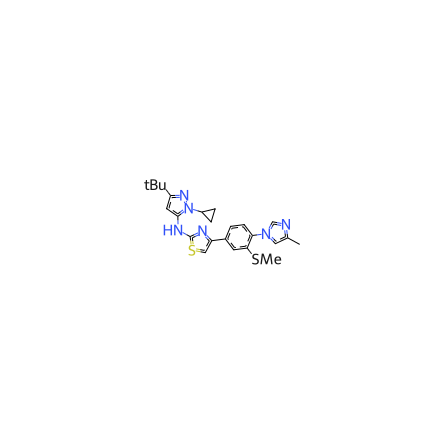 CSc1cc(-c2csc(Nc3cc(C(C)(C)C)nn3C3CC3)n2)ccc1-n1cnc(C)c1